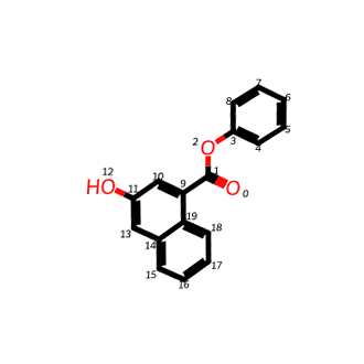 O=C(Oc1ccccc1)c1cc(O)cc2ccccc12